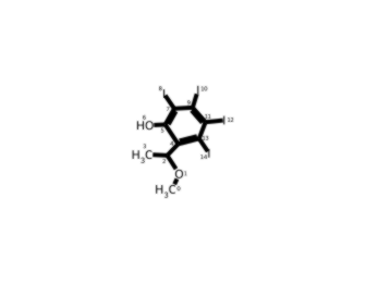 COC(C)c1c(O)c(I)c(I)c(I)c1I